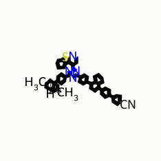 C[C@@H]1C[C@@H]2C[C@H](C)CC(c3ccc(-c4nc(-c5ccc(-c6ccc(-c7ccc(-c8ccc(C#N)cc8)cc7)c7ccccc67)cc5)nc(-c5ccnc6sc7ccccc7c56)n4)cc3)(C1)C2